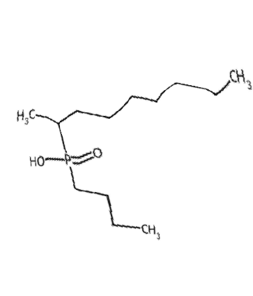 CCCCCCCC(C)P(=O)(O)CCCC